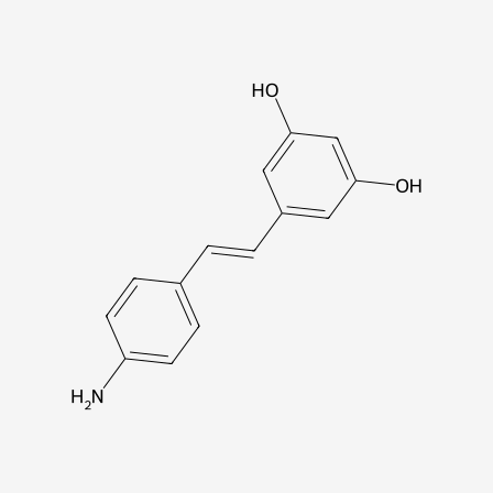 Nc1ccc(C=Cc2cc(O)cc(O)c2)cc1